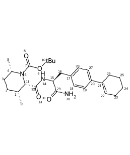 C[C@@H]1CC[C@H](C)N(C(=O)OC(C)(C)C)[C@@H]1C(=O)N[C@@H](Cc1ccc(C2=CCCCC2)cc1)C(N)=O